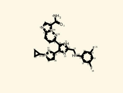 NC(=O)c1cnc2ccc(-c3[nH]c(CNc4cc(F)cc(F)c4)nc3-c3ccn(C4CC4)n3)nn12